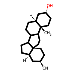 C[C@]12CC[C@@H](O)C[C@@H]1CCC1C3CC[C@@H]4C[C@H](C#N)CC[C@]34CCC12